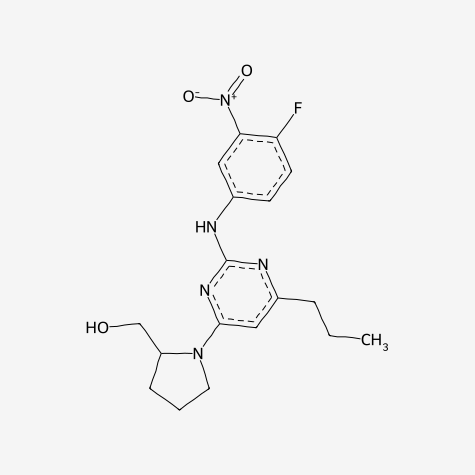 CCCc1cc(N2CCCC2CO)nc(Nc2ccc(F)c([N+](=O)[O-])c2)n1